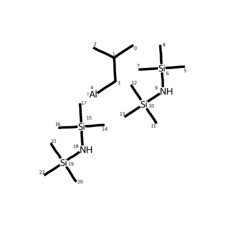 CC(C)[CH2][Al].C[Si](C)(C)N[Si](C)(C)C.C[Si](C)(C)N[Si](C)(C)C